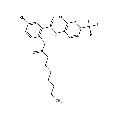 CCCCCCCC(=O)Oc1ccc(Cl)cc1C(=O)Nc1cnc(C(F)(F)F)nc1Cl